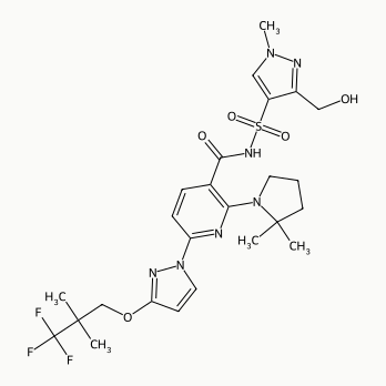 Cn1cc(S(=O)(=O)NC(=O)c2ccc(-n3ccc(OCC(C)(C)C(F)(F)F)n3)nc2N2CCCC2(C)C)c(CO)n1